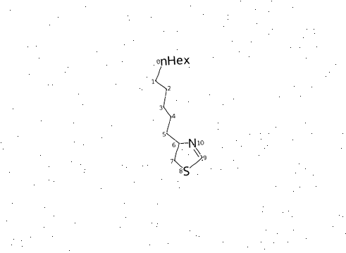 CCCCCCCCCCCC1CS[C]=N1